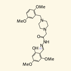 COc1ccc(OC)c(CN2CCN(CC(=O)N/N=C/c3c(O)cc(OC)cc3OC)CC2)c1